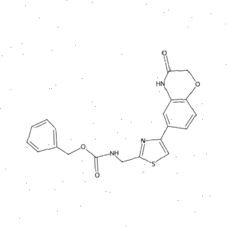 O=C1COc2ccc(-c3csc(CNC(=O)OCc4ccccc4)n3)cc2N1